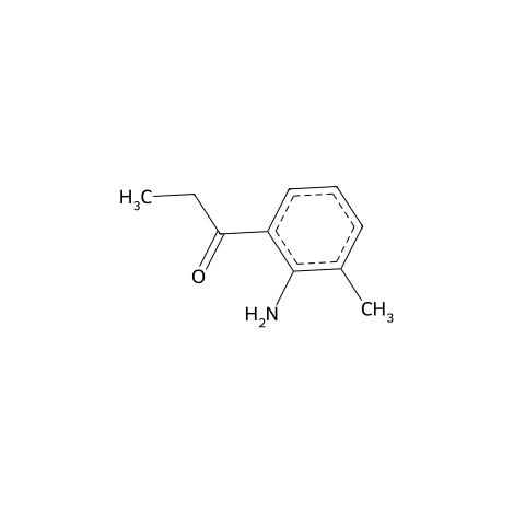 CCC(=O)c1cccc(C)c1N